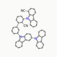 N#Cc1c(-c2cccc(-n3c4ccccc4c4cc(-n5c6ccccc6c6ccccc65)ccc43)c2)cccc1-n1c2ccccc2c2cccc(C#N)c21